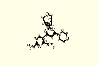 Nc1ncc(-c2cc(N3CCOCC3)nc(N3C4CCC3COC4)n2)c(C(F)(F)F)n1